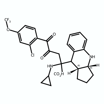 O=C(CC(NC1CC1)(C(=O)O)C1c2ccccc2N[C@@H]2CCC[C@H]12)C(=O)c1ccc(OC(F)(F)F)cc1Cl